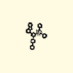 c1ccc(-c2ccc(-c3cc(-c4nc(-c5ccccc5)nc(-c5ccccc5)n4)cc(-c4cccc5c4Cc4ccccc4-5)c3)cc2)cc1